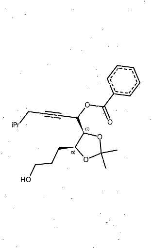 CC(C)CC#CC(OC(=O)c1ccccc1)[C@H]1OC(C)(C)O[C@H]1CCCO